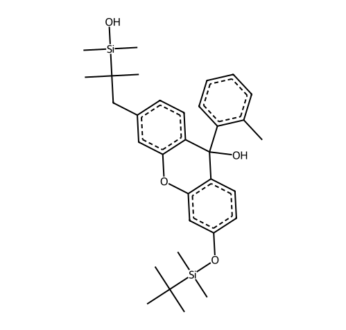 Cc1ccccc1C1(O)c2ccc(CC(C)(C)[Si](C)(C)O)cc2Oc2cc(O[Si](C)(C)C(C)(C)C)ccc21